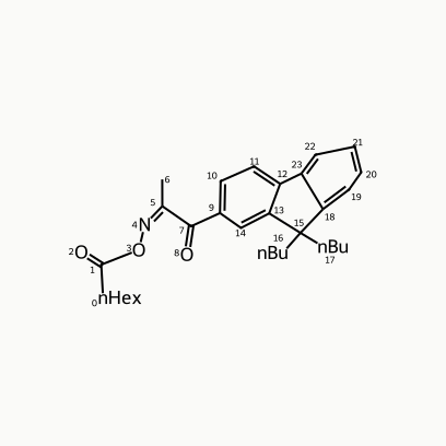 CCCCCCC(=O)O/N=C(/C)C(=O)c1ccc2c(c1)C(CCCC)(CCCC)c1ccccc1-2